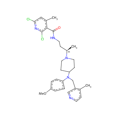 COc1ccc(N(Cc2cnccc2C)C2CCN([C@H](C)CCNC(=O)c3c(C)cc(Cl)nc3Cl)CC2)cc1